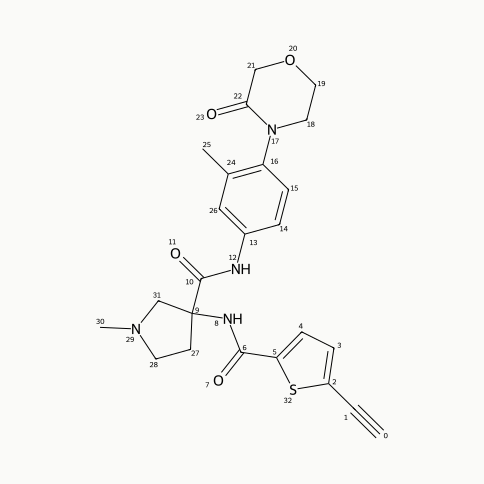 C#Cc1ccc(C(=O)NC2(C(=O)Nc3ccc(N4CCOCC4=O)c(C)c3)CCN(C)C2)s1